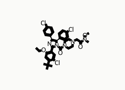 CCOc1cc(C(C)(C)C)c(Cl)cc1C1=N[C@@H](c2ccc(Cl)cc2)[C@@H](c2ccc(Cl)cc2)N1C(=O)N1CCN(CC(=O)N(C)OC)CC1